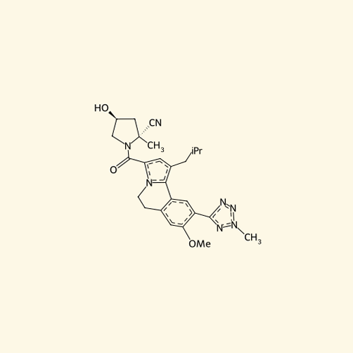 COc1cc2c(cc1-c1nnn(C)n1)-c1c(CC(C)C)cc(C(=O)N3C[C@@H](O)C[C@]3(C)C#N)n1CC2